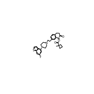 CC1(C(=O)ON2C(=O)CCc3ccc(CCN4CCN(c5cc(F)cc6sccc56)CC4)cc32)CCC1